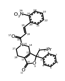 CC(C)CC1(c2ccccc2)OC(=O)C2=C1CN(C(=O)C=Cc1ccccc1[N+](=O)[O-])CC2